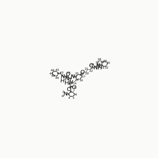 CN(C)c1ccccc1OC(=O)CN1Cc2ccc(OCCCC(=O)NN3CCc4ccccc43)cc2N=C1NC(=O)NCc1ccccc1